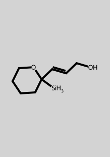 OCC=CC1([SiH3])CCCCO1